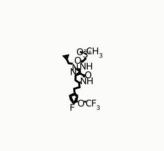 C[S+]([O-])CC(=O)Nc1c2c(nn1CCC1CC1)CC(CCc1ccc(F)c(OCC(F)(F)F)c1)NC2=O